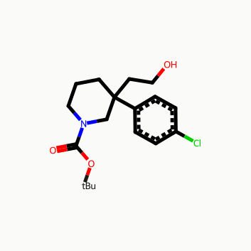 CC(C)(C)OC(=O)N1CCCC(CCO)(c2ccc(Cl)cc2)C1